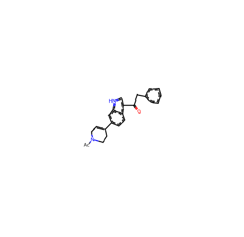 CC(=O)N1CC=C(c2ccc3c(C(=O)Cc4ccccc4)c[nH]c3c2)CC1